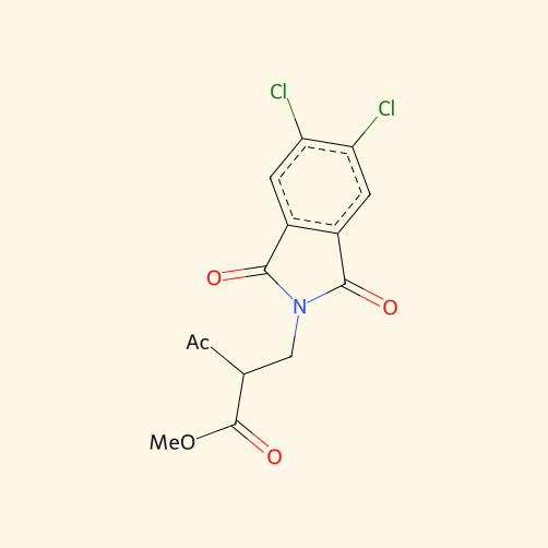 COC(=O)C(CN1C(=O)c2cc(Cl)c(Cl)cc2C1=O)C(C)=O